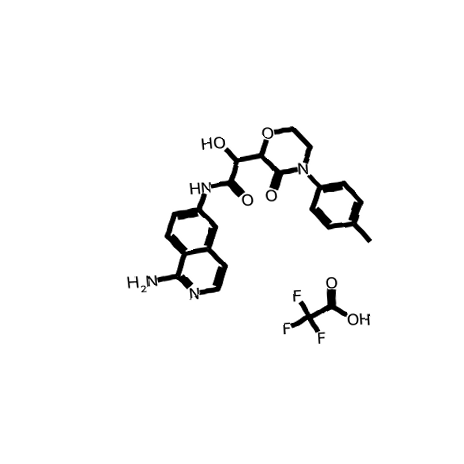 Cc1ccc(N2CCOC(C(O)C(=O)Nc3ccc4c(N)nccc4c3)C2=O)cc1.O=C(O)C(F)(F)F